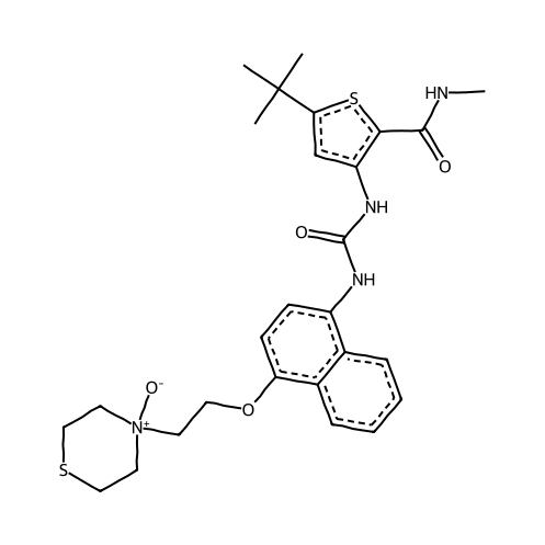 CNC(=O)c1sc(C(C)(C)C)cc1NC(=O)Nc1ccc(OCC[N+]2([O-])CCSCC2)c2ccccc12